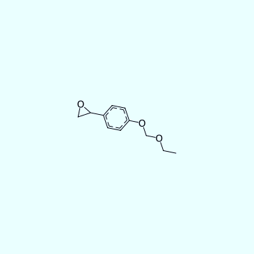 CCOCOc1ccc(C2CO2)cc1